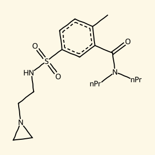 CCCN(CCC)C(=O)c1cc(S(=O)(=O)NCCN2CC2)ccc1C